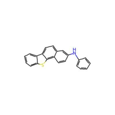 c1ccc(Nc2ccc3c(ccc4c5ccccc5sc34)c2)cc1